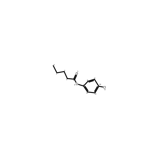 CCCCC(=O)Oc1ccc(Cl)cc1